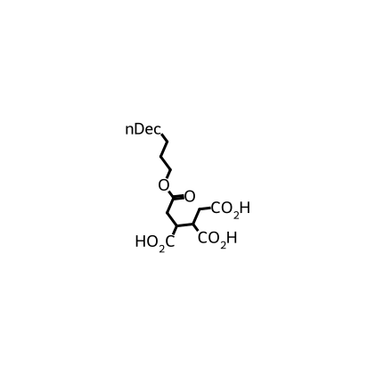 CCCCCCCCCCCCCOC(=O)CC(C(=O)O)C(CC(=O)O)C(=O)O